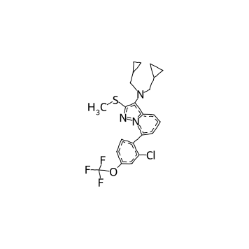 CSc1nn2c(-c3ccc(OC(F)(F)F)cc3Cl)cccc2c1N(CC1CC1)CC1CC1